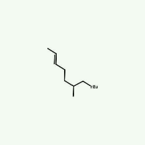 C/C=C/CCC(C)CCCCC